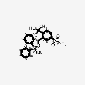 CC(C)(O)c1ccc(S(N)(=O)=O)cc1CO[Si](c1ccccc1)(c1ccccc1)C(C)(C)C